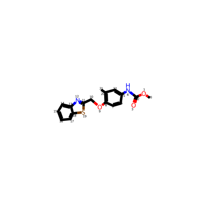 COC(=O)Nc1ccc(OCc2nc3ccccc3s2)c(C)c1